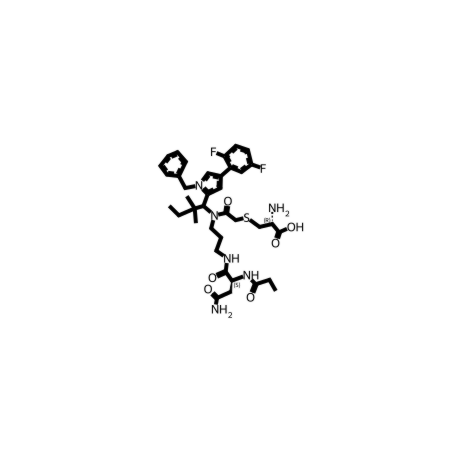 CCC(=O)N[C@@H](CC(N)=O)C(=O)NCCCN(C(=O)CSC[C@H](N)C(=O)O)C(c1cc(-c2cc(F)ccc2F)cn1Cc1ccccc1)C(C)(C)CC